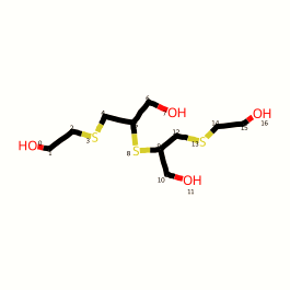 OCCSCC(CO)SC(CO)CSCCO